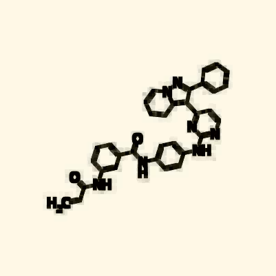 C=CC(=O)Nc1cccc(C(=O)Nc2ccc(Nc3nccc(-c4c(-c5ccccc5)nn5ccccc45)n3)cc2)c1